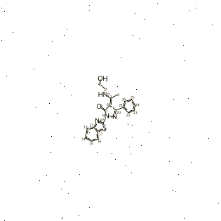 CC(NCCO)=C1C(=O)N(c2nc3ccccc3s2)N=C1c1ccccc1